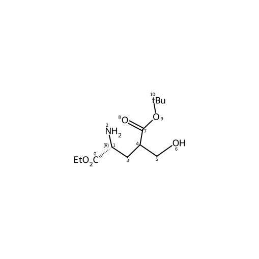 CCOC(=O)[C@H](N)CC(CO)C(=O)OC(C)(C)C